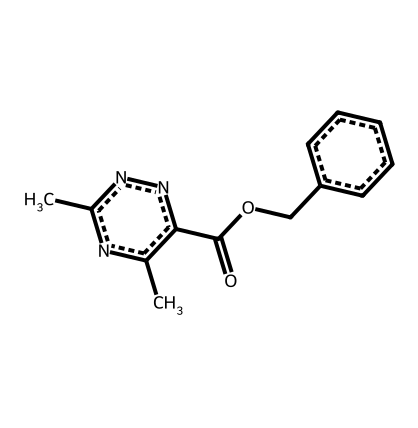 Cc1nnc(C(=O)OCc2ccccc2)c(C)n1